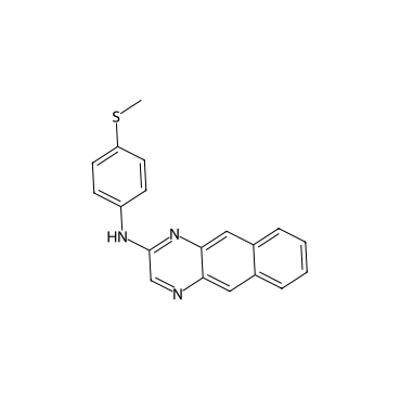 CSc1ccc(Nc2cnc3cc4ccccc4cc3n2)cc1